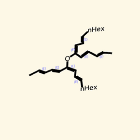 C/C=C/C=C/C(=C\C=C\CCCCCC)OC(/C=C/C=C/C)=C/C=C/CCCCCC